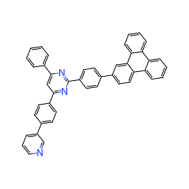 c1ccc(-c2cc(-c3ccc(-c4cccnc4)cc3)nc(-c3ccc(-c4ccc5c6ccccc6c6ccccc6c5c4)cc3)n2)cc1